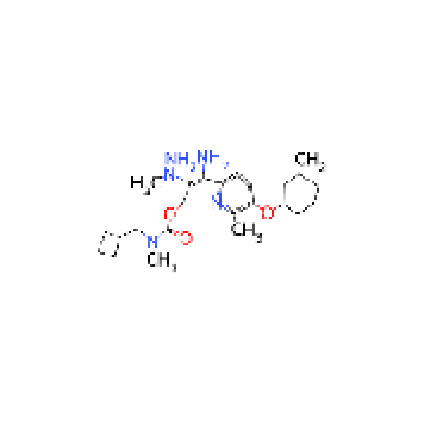 Cc1nc(/C(N)=C(\COC(=O)N(C)CC2CCC2)N(C)N)ccc1OC1CCCC(C)C1